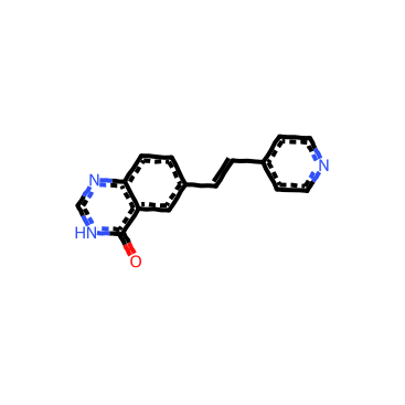 O=c1[nH]cnc2ccc(/C=C/c3ccncc3)cc12